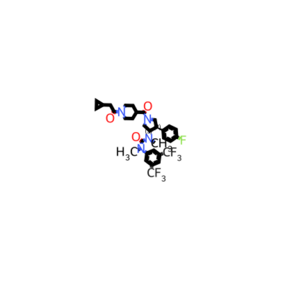 CN(C(=O)N(C)[C@@H]1CN(C(=O)C2CCN(C(=O)CC3CC3)CC2)C[C@H]1c1ccc(F)cc1)c1cc(C(F)(F)F)cc(C(F)(F)F)c1